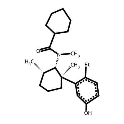 CCc1ccc(O)cc1[C@@]1(C)CCC[C@H](C)[C@@H]1N(C)C(=O)C1CCCCC1